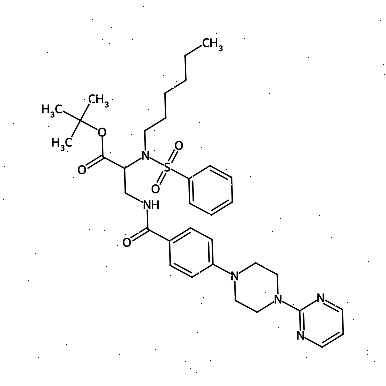 CCCCCCN(C(CNC(=O)c1ccc(N2CCN(c3ncccn3)CC2)cc1)C(=O)OC(C)(C)C)S(=O)(=O)c1ccccc1